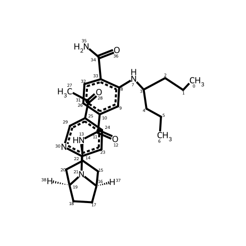 CCCC(CCC)Nc1cc(C(=O)N[C@H]2C[C@H]3CC[C@@H](C2)N3c2ccc(C(C)=O)cn2)ccc1C(N)=O